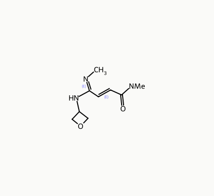 C/N=C(\C=C\C(=O)NC)NC1COC1